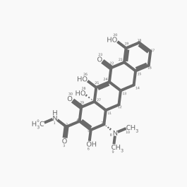 CNC(=O)C1=C(O)[C@@H](N(C)C)C2CC3Cc4cccc(O)c4C(=O)C3=C(O)[C@]2(O)C1=O